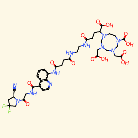 N#C[C@@H]1CC(F)(F)CN1C(=O)CNC(=O)c1ccnc2c(NC(=O)CCC(=O)NCCNC(=O)CCC(C(=O)O)N3CCN(C(=O)O)CN(CC(=O)O)CN(CC(=O)O)C3)cccc12